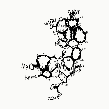 COc1ccc(CN(Cc2ccc(OC)cc2)S(=O)(=O)c2c(S(=O)(=O)N[C@H]3CN(C(=O)OC(C)(C)C)C[C@H]3O)ccc(-c3cccc4c3nc(NC(=O)OC(C)(C)C)n4C(=O)OC(C)(C)C)c2-c2nnnn2Cc2ccc(OC)cc2)cc1